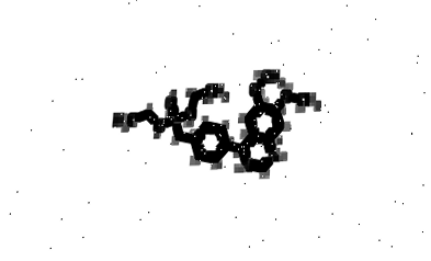 CCOP(=O)(Cc1ccc(-c2ncnc3cc(OC)c(OC)cc23)cc1)OCC